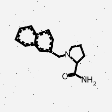 NC(=O)C1[CH]CCN1Cc1ccc2ccccc2c1